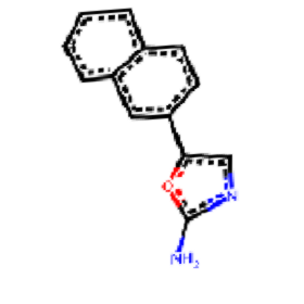 Nc1ncc(-c2ccc3ccccc3c2)o1